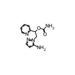 NC(=O)OC(Cn1nccc1N)c1ccccn1